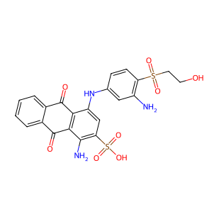 Nc1cc(Nc2cc(S(=O)(=O)O)c(N)c3c2C(=O)c2ccccc2C3=O)ccc1S(=O)(=O)CCO